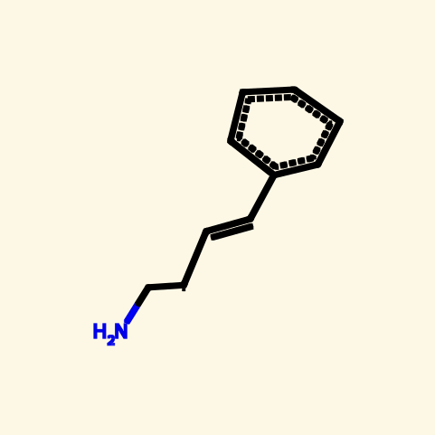 NC[CH]C=Cc1ccccc1